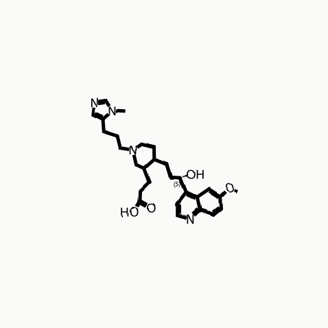 COc1ccc2nccc([C@@H](O)CCC3CCN(CCCc4cncn4C)CC3CCC(=O)O)c2c1